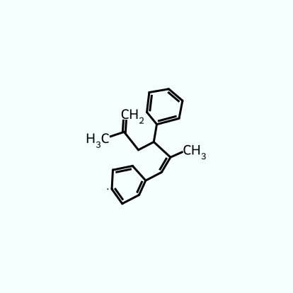 C=C(C)CC(C(C)=Cc1cc[c]cc1)c1ccccc1